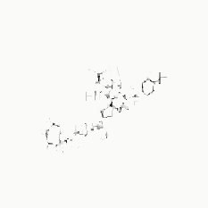 CC(C)=CC(=N)Nc1nc(C(F)(F)c2ccc(F)cc2)nn2cc(C(=O)NCCCN3CCCCC3)cc12